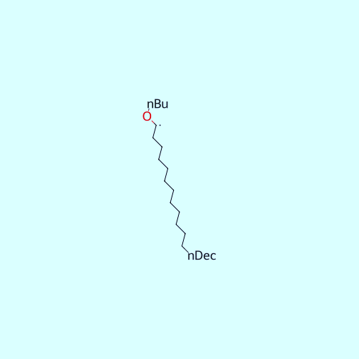 CCCCCCCCCCCCCCCCCCCCC[CH]OCCCC